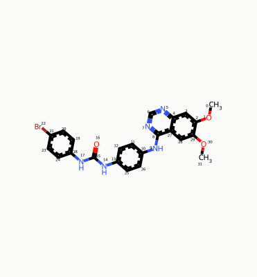 COc1cc2ncnc(Nc3ccc(NC(=O)Nc4ccc(Br)cc4)cc3)c2cc1OC